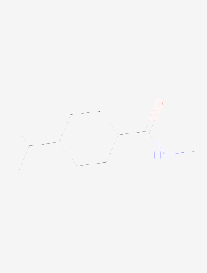 CNC(=O)C1CCC(C(C)C)CC1